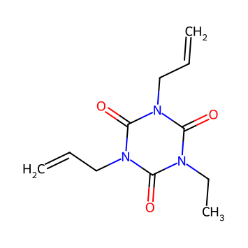 C=CCn1c(=O)n(CC)c(=O)n(CC=C)c1=O